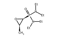 CCN(CC)P(=O)([C@@H]1O[C@@H]1C)N(CC)CC